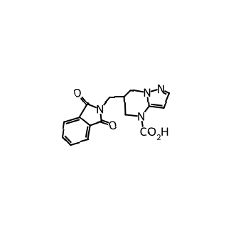 O=C1c2ccccc2C(=O)N1CC1CN(C(=O)O)c2ccnn2C1